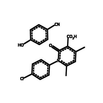 Cc1cc(C)n(-c2ccc(Cl)cc2)c(=O)c1C(=O)O.N#Cc1ccc(O)cc1